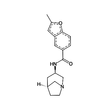 Cc1cc2cc(C(=O)N[C@@H]3C[C@@H]4CCN(C4)C3)ccc2o1